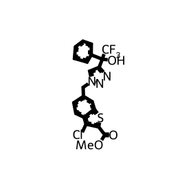 COC(=O)c1sc2cc(Cn3cc(C(O)(c4ccccc4)C(F)(F)F)nn3)ccc2c1Cl